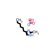 CCCCCCc1c[nH]c(C)n1.O=[N+]([O-])O